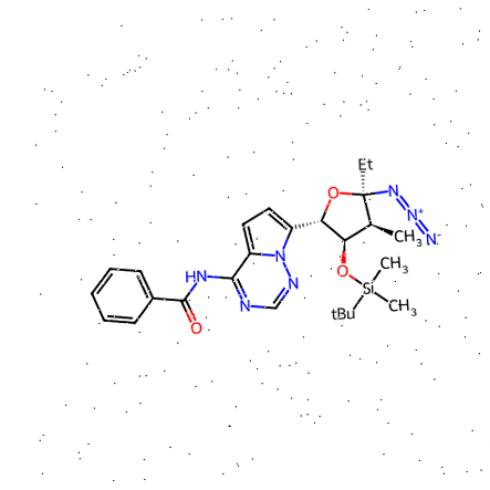 CC[C@@]1(N=[N+]=[N-])O[C@@H](c2ccc3c(NC(=O)c4ccccc4)ncnn23)[C@H](O[Si](C)(C)C(C)(C)C)[C@@H]1C